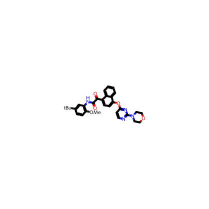 COc1ccc(C(C)(C)C)cc1NC(=O)C(=O)c1ccc(Oc2ccnc(N3CCOCC3)n2)c2ccccc12